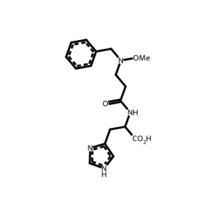 CON(CCC(=O)NC(Cc1c[nH]cn1)C(=O)O)Cc1ccccc1